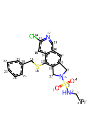 CC(C)CNS(=O)(=O)N1Cc2cc3cnc(Cl)cc3c(SCc3ccccc3)c2C1